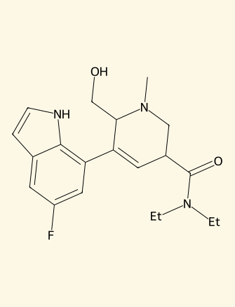 CCN(CC)C(=O)C1C=C(c2cc(F)cc3cc[nH]c23)C(CO)N(C)C1